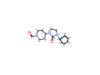 O=[C]N1CCC(N2CCN(c3ccccc3)C2=O)CC1